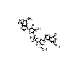 C[Si](C)(NC[C@H]1O[C@@H](n2cnc3c(=O)[nH]c(N)nc32)[C@H](O)[C@@H]1O)N[C@H]1C[C@H](n2cnc3c(=O)[nH]c(N)nc32)O[C@@H]1CO